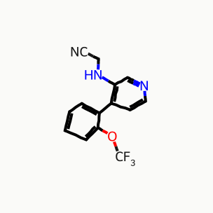 N#CCNc1cnccc1-c1ccccc1OC(F)(F)F